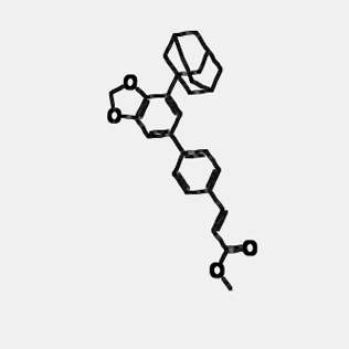 COC(=O)C=Cc1ccc(-c2cc3c(c(C45CC6CC(CC(C6)C4)C5)c2)OCO3)cc1